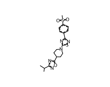 CC(C)c1noc(C2CCN(c3nc(-c4ccc(S(C)(=O)=O)cc4)ns3)CC2)n1